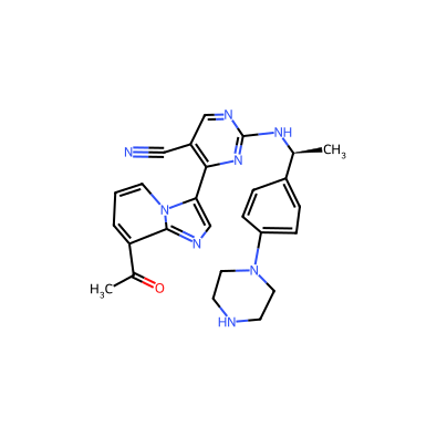 CC(=O)c1cccn2c(-c3nc(N[C@@H](C)c4ccc(N5CCNCC5)cc4)ncc3C#N)cnc12